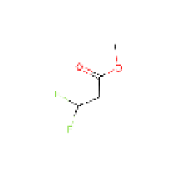 COC(=O)C[C](F)F